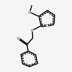 COc1ccccc1OCC(=O)c1ccccc1